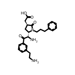 NCCc1cccc(C(=O)C(N)[C@@H]2C[C@@H](CC(=O)O)C(=O)N2CCCc2ccccc2)c1